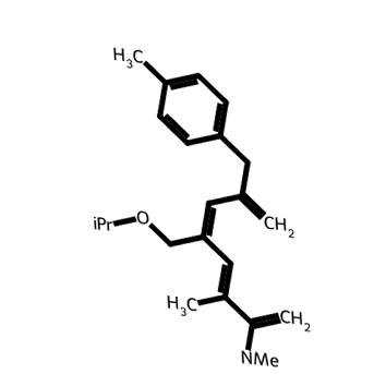 C=C(/C=C(\C=C(/C)C(=C)NC)COC(C)C)Cc1ccc(C)cc1